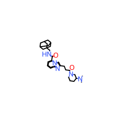 CN(C)C1CCCN(C(=O)CCc2cn3c(C(=O)NCC45CC6CC(CC(C6)C4)C5)cccc3n2)C1